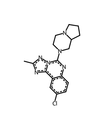 Cc1nc2c3cc(Cl)ccc3nc(N3CCN4CCCC4C3)n2n1